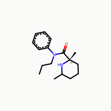 CCCN(C(=O)[C@]1(C)CCCC(C)N1)c1ccccc1